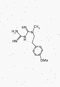 COc1ccc(CCN(C)C(=N)NC(=N)N)cc1